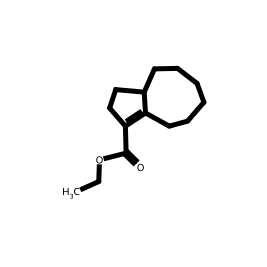 CCOC(=O)C1=C2CCCCCCC2CC1